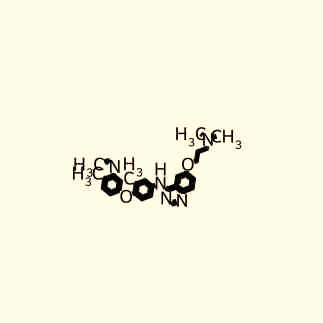 C/C=N\c1cc(Oc2ccc(Nc3ncnc4ccc(OCCCN(C)C)cc34)cc2C)ccc1C